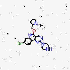 CN1CCCC1COc1nc2cc(Br)ccc2c2nc(N3CCNCC3)ncc12